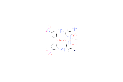 [C-]#[N+]c1c(C)c2c(n(CCCC)c1=O)OC1(Oc3ccc([N+](=O)[O-])cc3N=Nc3c(C)c(C#N)c(=O)n(CCCC)c3O1)Oc1ccc([N+](=O)[O-])cc1N=N2